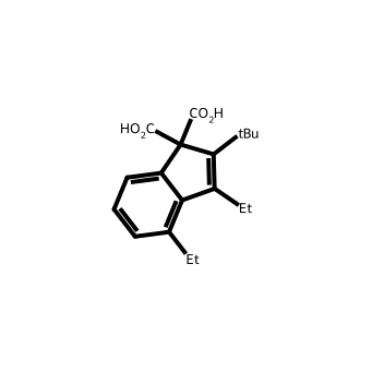 CCC1=C(C(C)(C)C)C(C(=O)O)(C(=O)O)c2cccc(CC)c21